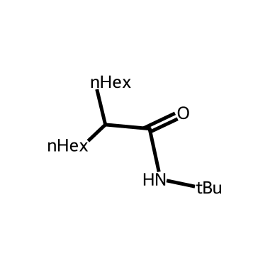 CCCCCCC(CCCCCC)C(=O)NC(C)(C)C